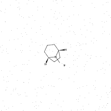 CN1[C@@H]2CCC[C@H]1CC2.[Ir]